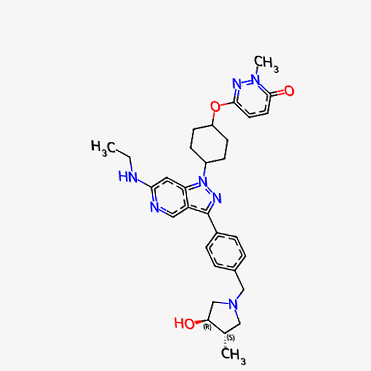 CCNc1cc2c(cn1)c(-c1ccc(CN3C[C@H](C)[C@@H](O)C3)cc1)nn2C1CCC(Oc2ccc(=O)n(C)n2)CC1